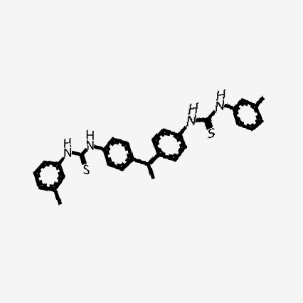 Cc1cccc(NC(=S)Nc2ccc(C(C)c3ccc(NC(=S)Nc4cccc(C)c4)cc3)cc2)c1